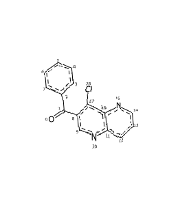 O=C(c1ccccc1)c1cnc2cccnc2c1Cl